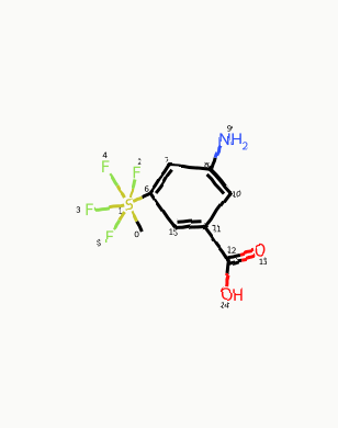 CS(F)(F)(F)(F)c1cc(N)cc(C(=O)O)c1